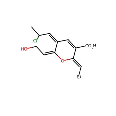 CC/C=C1\OC(=C/CO)/C(=C\C(C)Cl)C=C1C(=O)O